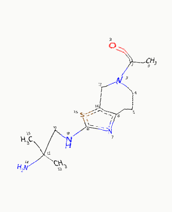 CC(=O)N1CCc2nc(NCC(C)(C)N)sc2C1